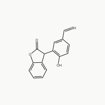 B=Cc1ccc(O)c(C2C(=O)Oc3ccccc32)c1